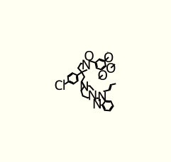 CC=CCn1c(N2CCCN(CCC3(c4ccc(Cl)cc4)CCN(C(=O)c4cc(OC)c(OC)c(OC)c4)C3)CC2)nc2ccccc21